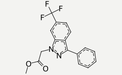 COC(=O)Cn1nc(-c2ccccc2)c2ccc(C(F)(F)F)cc21